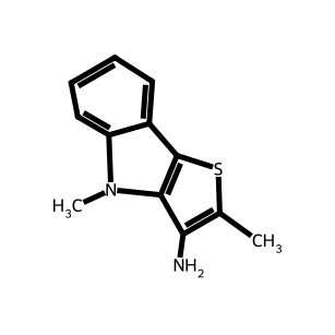 Cc1sc2c3ccccc3n(C)c2c1N